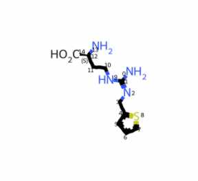 NC(=NCc1cccs1)NCC[C@H](N)C(=O)O